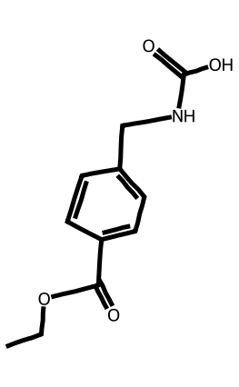 CCOC(=O)c1ccc(CNC(=O)O)cc1